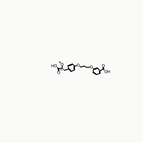 CO[C@@H](Cc1ccc(OCCCOc2cccc(C(=O)O)c2)cc1)C(=O)O